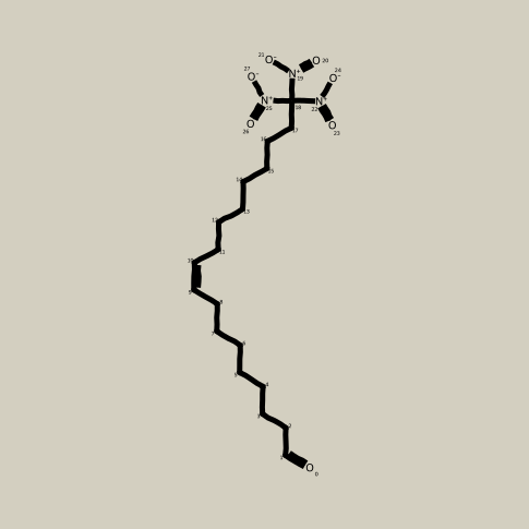 O=[C]CCCCCCC/C=C\CCCCCCCC([N+](=O)[O-])([N+](=O)[O-])[N+](=O)[O-]